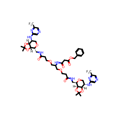 CC1(C)O[C@@H]2[C@H](O1)[C@@H](Nc1cncc(C(F)(F)F)n1)CO[C@@H]2CNC(=O)CCOCC(COCCC(=O)NC[C@H]1OC[C@H](Nc2cncc(C(F)(F)F)n2)[C@H]2OC(C)(C)O[C@H]21)NC(=O)CC(=O)OCc1ccccc1